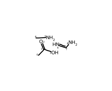 CC(=O)O.CN.N=CN